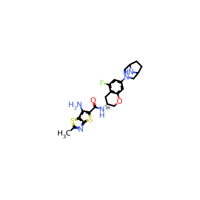 Cc1nc2sc(C(=O)N[C@H]3COc4cc(N5CC6CCC(C5)N6)cc(F)c4C3)c(N)c2s1